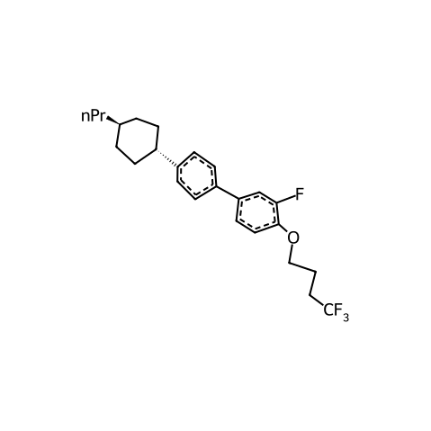 CCC[C@H]1CC[C@H](c2ccc(-c3ccc(OCCCC(F)(F)F)c(F)c3)cc2)CC1